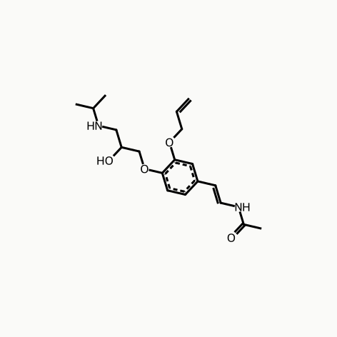 C=CCOc1cc(C=CNC(C)=O)ccc1OCC(O)CNC(C)C